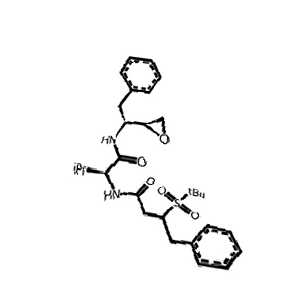 CC(C)[C@H](NC(=O)CC(Cc1ccccc1)S(=O)(=O)C(C)(C)C)C(=O)N[C@@H](Cc1ccccc1)[C@H]1CO1